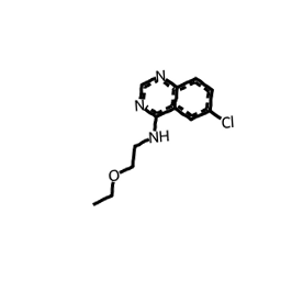 CCOCCNc1ncnc2ccc(Cl)cc12